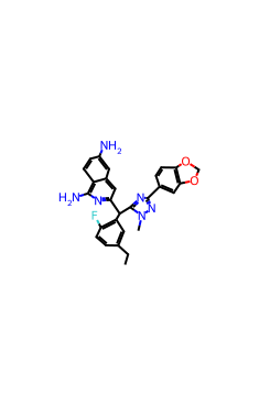 CCc1ccc(F)c(C(c2cc3cc(N)ccc3c(N)n2)c2nc(-c3ccc4c(c3)OCO4)nn2C)c1